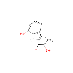 C=CC.CC(O)CO.Oc1ccccc1